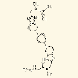 C=CNCC(=O)N(Cc1nc2ccc(-c3ccc(-c4ccc5nc(CN(C)C6C(C)[C@H]6C)[nH]c5c4)cc3)cc2[nH]1)C(C)C